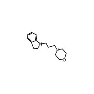 c1ccc2c(c1)CCN2CCCN1CCOCC1